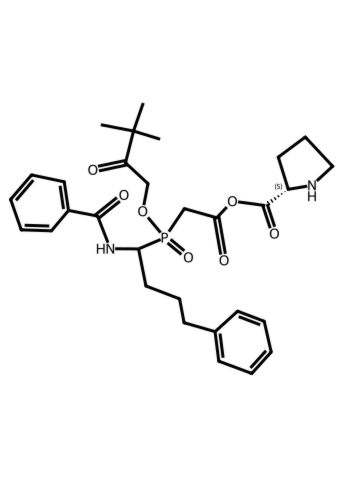 CC(C)(C)C(=O)COP(=O)(CC(=O)OC(=O)[C@@H]1CCCN1)C(CCCc1ccccc1)NC(=O)c1ccccc1